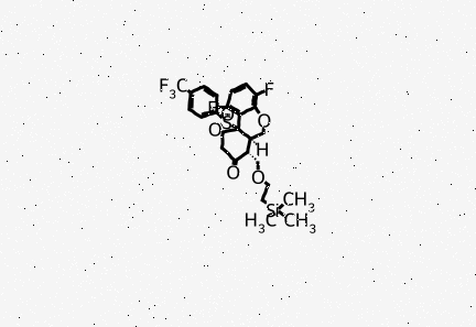 C[Si](C)(C)CCOC[C@@H]1C(=O)CCC2(S(=O)(=O)c3ccc(C(F)(F)F)cc3)c3c(F)ccc(F)c3OC[C@@H]12